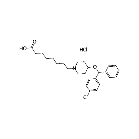 Cl.O=C(O)CCCCCCCN1CCC(OC(c2ccccc2)c2ccc(Cl)cc2)CC1